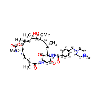 CO[C@H]1/C=C\C=C(/C)C(=O)NC2=CC(=O)C(NC(=O)c3ccc(CN4CCN(C(C)=O)CC4)cc3)=C(C[C@@H](C)C[C@H](OC)[C@H](O)[C@@H](C)/C=C(\C)[C@@H]1OC(N)=O)C2=O